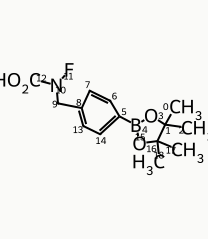 CC1(C)OB(c2ccc(CN(F)C(=O)O)cc2)OC1(C)C